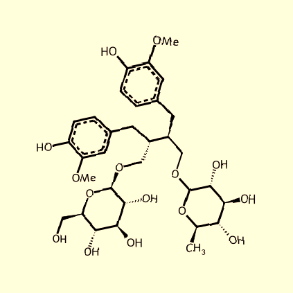 COc1cc(C[C@@H](COC2O[C@H](C)[C@@H](O)[C@H](O)[C@H]2O)[C@H](CO[C@@H]2O[C@H](CO)[C@@H](O)[C@H](O)[C@H]2O)Cc2ccc(O)c(OC)c2)ccc1O